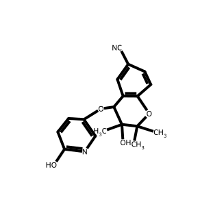 CC1(C)Oc2ccc(C#N)cc2C(Oc2ccc(O)nc2)C1(C)O